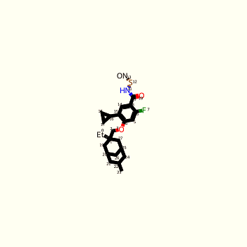 CCC1(COc2cc(F)c(C(=O)NSN=O)cc2C2CC2)CC2CC(C)CC(C2)C1